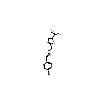 O=C(O)c1ccc(CON=Cc2ccc(F)cc2)s1